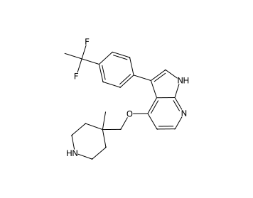 CC1(COc2ccnc3[nH]cc(-c4ccc(C(C)(F)F)cc4)c23)CCNCC1